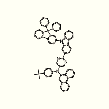 CC(C)(C)c1ccc(N(c2cnc(-c3ccc4c5ccccc5n(-c5ccc6c(c5)C(c5ccccc5)(c5ccccc5)c5ccccc5-6)c4c3)nc2)c2cc3ccccc3c3ccccc23)cc1